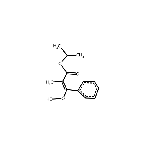 CC(C(=O)OC(C)C)=C(OO)c1ccccc1